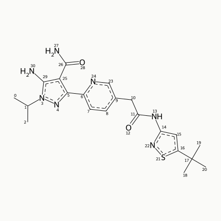 CC(C)n1nc(-c2ccc(CC(=O)Nc3cc(C(C)(C)C)sn3)cn2)c(C(N)=O)c1N